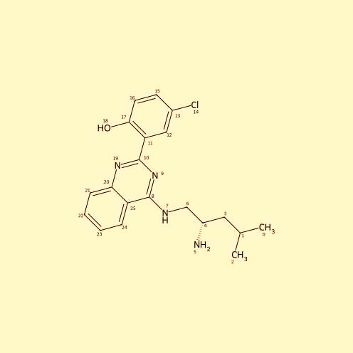 CC(C)C[C@H](N)CNc1nc(-c2cc(Cl)ccc2O)nc2ccccc12